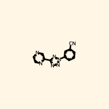 N#Cc1cccc(-n2nnc(-c3cnccn3)n2)c1